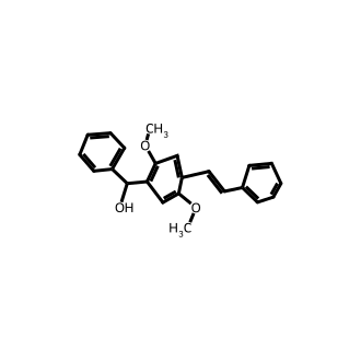 COc1cc(C(O)c2ccccc2)c(OC)cc1C=Cc1ccccc1